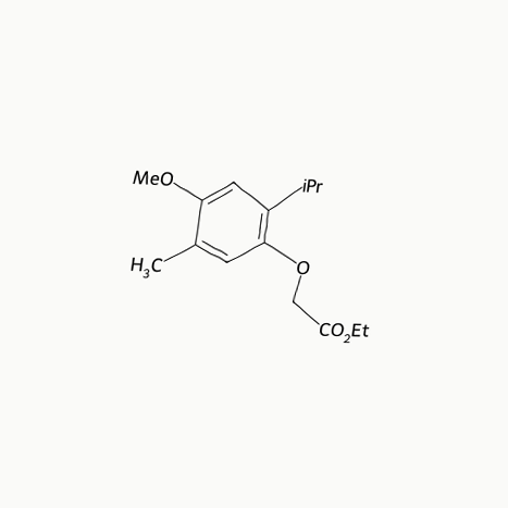 CCOC(=O)COc1cc(C)c(OC)cc1C(C)C